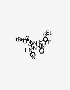 CCOc1cc(F)c(Cn2nc(-c3nc4c(c(Nc5ccncc5)n3)CN(C(=O)OC(C)(C)C)C4)c3ccccc32)c(F)c1